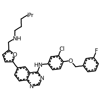 CC(C)CCCNCc1ccc(-c2ccc3ncnc(Nc4ccc(OCc5cccc(F)c5)c(Cl)c4)c3c2)o1